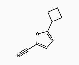 N#Cc1ccc(C2CCC2)o1